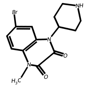 Cn1c(=O)c(=O)n(C2CCNCC2)c2cc(Br)ccc21